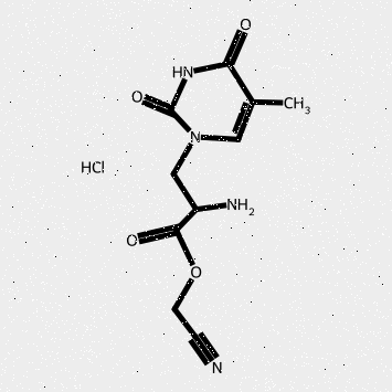 Cc1cn(CC(N)C(=O)OCC#N)c(=O)[nH]c1=O.Cl